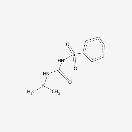 CN(C)NC(=O)NS(=O)(=O)c1ccccc1